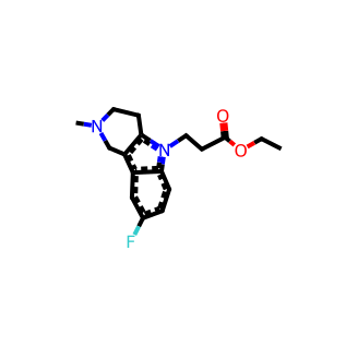 CCOC(=O)CCn1c2c(c3cc(F)ccc31)CN(C)CC2